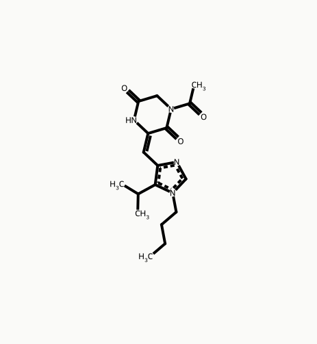 CCCCn1cnc(C=C2NC(=O)CN(C(C)=O)C2=O)c1C(C)C